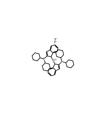 C1=C(P(C2CCCCC2)C2CCCCC2)[CH]([Ti+2][CH]2C(P(C3CCCCC3)C3CCCCC3)=Cc3ccccc32)c2ccccc21.[F-].[F-]